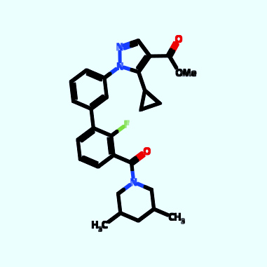 COC(=O)c1cnn(-c2cccc(-c3cccc(C(=O)N4CC(C)CC(C)C4)c3F)c2)c1C1CC1